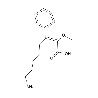 COC(C(=O)O)=C(CCCCCN)c1ccccc1